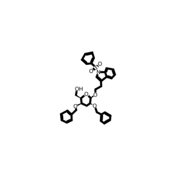 O=S(=O)(c1ccccc1)n1cc(CCO[C@@H]2O[C@H](CO)[C@H](OCc3ccccc3)C[C@H]2OCc2ccccc2)c2ccccc21